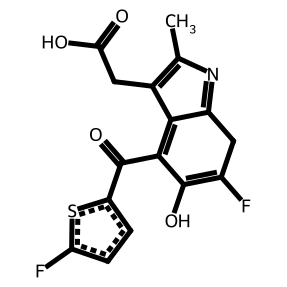 CC1=C(CC(=O)O)C2=C(C(=O)c3ccc(F)s3)C(O)=C(F)CC2=N1